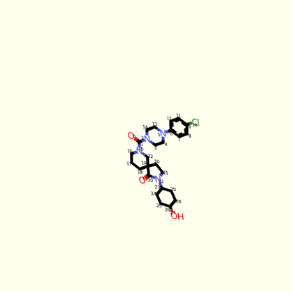 O=C(N1CCN(c2ccc(Cl)cc2)CC1)N1CCCC2(CCN(C3CCC(O)CC3)C2=O)C1